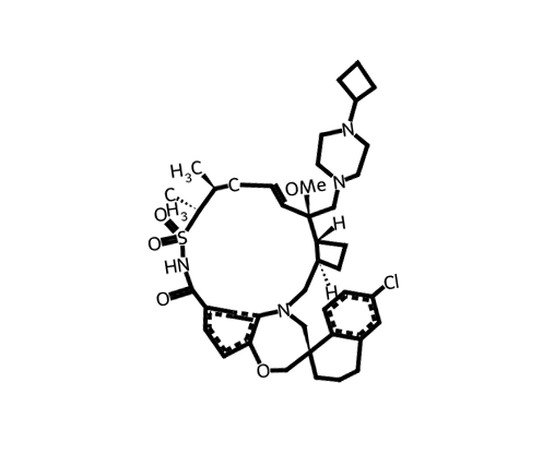 CO[C@]1(CN2CCN(C3CCC3)CC2)/C=C/C[C@H](C)[C@@H](C)S(=O)(=O)NC(=O)c2ccc3c(c2)N(C[C@@H]2CC[C@H]21)C[C@@]1(CCCc2cc(Cl)ccc21)CO3